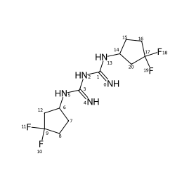 N=C(NC(=N)NC1CCC(F)(F)C1)NC1CCC(F)(F)C1